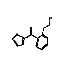 N#CCCc1ccccc1C(=O)c1cccs1